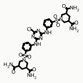 NC(=O)C1CC(C(N)=O)CN(S(=O)(=O)c2cccc(Nc3nc(Cl)nc(Nc4cccc(S(=O)(=O)N5CC(C(N)=O)CC(C(N)=O)C5)c4)n3)c2)C1